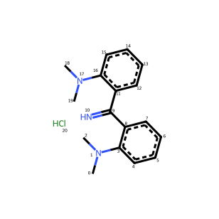 CN(C)c1ccccc1C(=N)c1ccccc1N(C)C.Cl